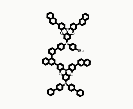 CC(C)(C)c1ccc(N(c2ccc(-c3cccc(-c4cc(-c5ccc6c(c5)Oc5cc(N(c7ccc(-c8ccccc8)cc7)c7ccc(-c8ccccc8)cc7)cc7c5B6c5ccc(-c6ccc8ccccc8c6)cc5O7)cc5ccccc45)c3)cc2)c2cc3c4c(c2)Oc2cc(-c5ccc6ccccc6c5)ccc2B4c2ccc(-c4ccc5ccccc5c4)cc2O3)cc1